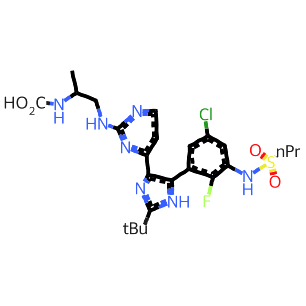 CCCS(=O)(=O)Nc1cc(Cl)cc(-c2[nH]c(C(C)(C)C)nc2-c2ccnc(NCC(C)NC(=O)O)n2)c1F